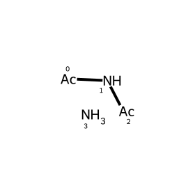 CC(=O)NC(C)=O.N